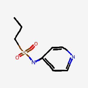 CCCS(=O)(=O)[N]c1ccncc1